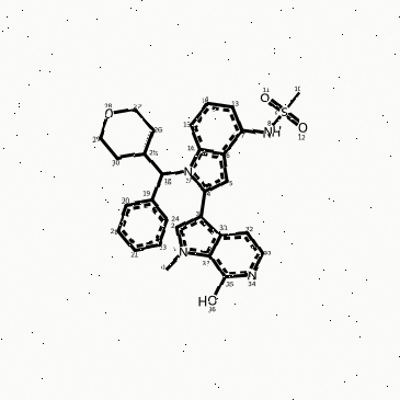 Cn1cc(-c2cc3c(NS(C)(=O)=O)cccc3n2C(c2ccccc2)C2CCOCC2)c2ccnc(O)c21